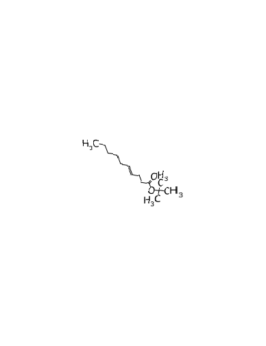 CCCCCC=CCCC(=O)OC(C)(C)C